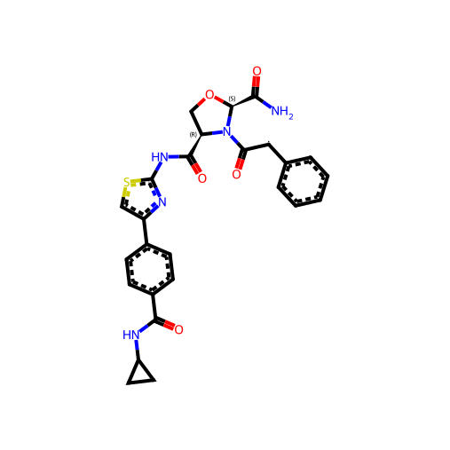 NC(=O)[C@@H]1OC[C@H](C(=O)Nc2nc(-c3ccc(C(=O)NC4CC4)cc3)cs2)N1C(=O)[CH]c1ccccc1